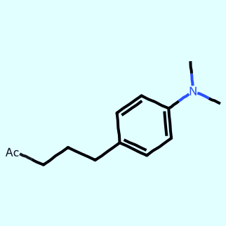 CC(=O)CCCc1ccc(N(C)C)cc1